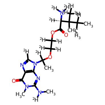 [2H]c1nc2c(=O)n(C)c(N([2H])C)nc2n1C([2H])(C)OC([2H])([2H])C([2H])([2H])OC(=O)[C@@]([2H])(N([2H])[2H])C(C)(C([2H])([2H])[2H])C([2H])(C)C